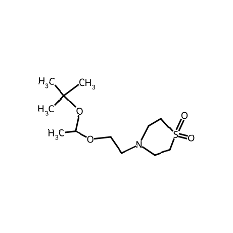 CC(OCCN1CCS(=O)(=O)CC1)OC(C)(C)C